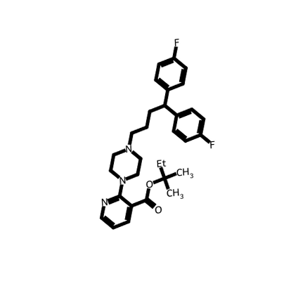 CCC(C)(C)OC(=O)c1cccnc1N1CCN(CCCC(c2ccc(F)cc2)c2ccc(F)cc2)CC1